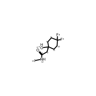 O=C(CC1(O)CCC(F)(F)CC1)NI